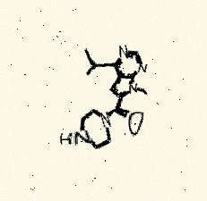 CC(C)c1ncnc2c1cc(C(=O)N1CCNCC1)n2C